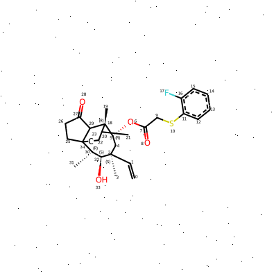 C=C[C@]1(C)C[C@@H](OC(=O)CSc2ccccc2F)[C@]2(C)C(C)CCC3(CCC(=O)C32)[C@@H](C)[C@@H]1O